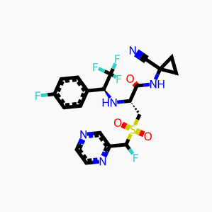 N#CC1(NC(=O)[C@H](CS(=O)(=O)C(F)c2cnccn2)N[C@@H](c2ccc(F)cc2)C(F)(F)F)CC1